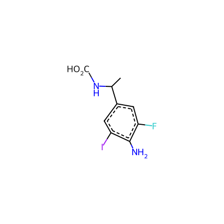 CC(NC(=O)O)c1cc(F)c(N)c(I)c1